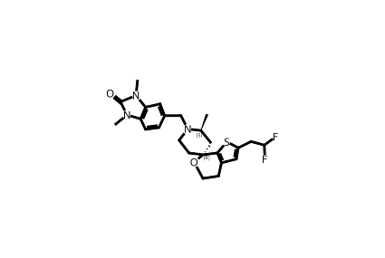 C[C@H]1C[C@@]2(CCN1Cc1ccc3c(c1)n(C)c(=O)n3C)OCCc1cc(CC(F)F)sc12